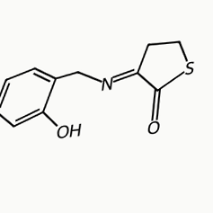 O=C1SCC/C1=N\Cc1ccccc1O